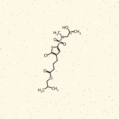 CC(C)COC(=O)CCCc1cc(S(=O)(=O)N(C)C[C@H](C)O)sc1Cl